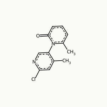 Cc1cc(Cl)ncc1-n1c(C)cccc1=O